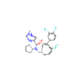 Cn1cnc(C(=O)N(Cc2ccc(F)c(-c3ccc(F)c(F)c3)c2)C2CCCC2)c1